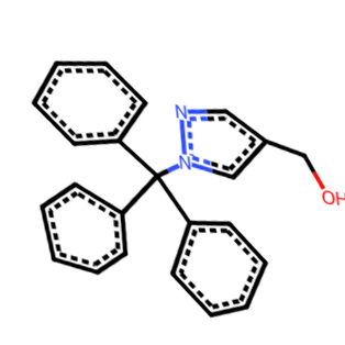 OCc1cnn(C(c2ccccc2)(c2ccccc2)c2ccccc2)c1